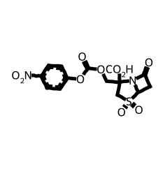 O=C(OCC1(C(=O)O)CS(=O)(=O)C2CC(=O)N21)Oc1ccc([N+](=O)[O-])cc1